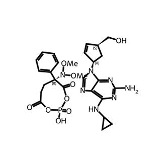 CON(OC)[C@@]1(c2ccccc2)CCC(=O)OP(=O)(O)OC1=O.Nc1nc(NC2CC2)c2ncn([C@H]3C=C[C@@H](CO)C3)c2n1